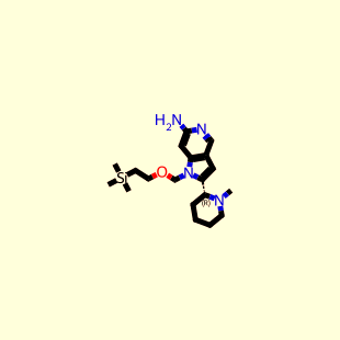 CN1CCCC[C@@H]1c1cc2cnc(N)cc2n1COCC[Si](C)(C)C